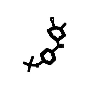 Cc1cc(Nc2ccc(SC(C)(C)C)cc2)ccc1Cl